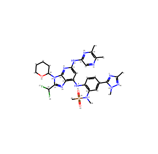 Cc1nc(-c2ccc(Nc3cc(Nc4cnc(C)c(C)n4)nc4c3nc(C(F)F)n4C3CCCCO3)c(N(C)S(C)(=O)=O)c2)n(C)n1